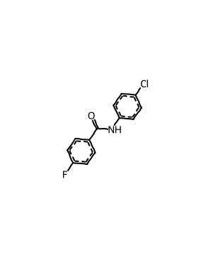 O=C(Nc1ccc(Cl)cc1)c1ccc(F)cc1